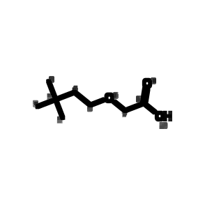 CC(C)(C)CCOCC(=O)O